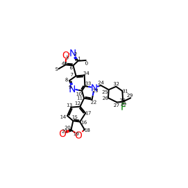 Cc1noc(C)c1-c1cnc2c(-c3ccc4c(c3)COC4=O)cn(CC3CCC(C)(F)CC3)c2c1